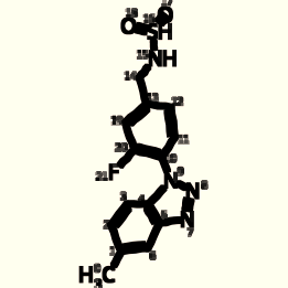 Cc1ccc2c(c1)nnn2-c1ccc(CN[SH](=O)=O)cc1F